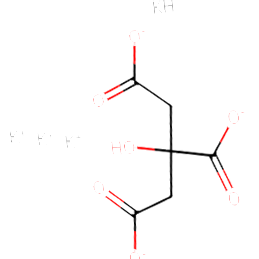 O=C([O-])CC(O)(CC(=O)[O-])C(=O)[O-].[K+].[K+].[K+].[KH]